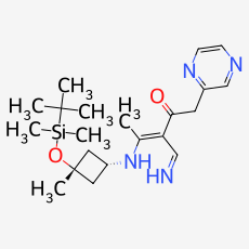 C/C(N[C@H]1C[C@@](C)(O[Si](C)(C)C(C)(C)C)C1)=C(/C=N)C(=O)Cc1cnccn1